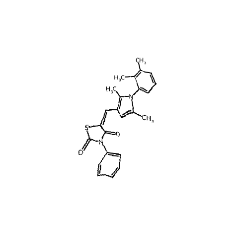 Cc1cccc(-n2c(C)cc(C=C3SC(=O)N(c4ccccc4)C3=O)c2C)c1C